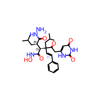 CC(C)C[C@@H](C(=O)NN)[C@H](C(=O)NO)C(/C=C/c1ccccc1)(CC(C)C)C(=O)Cc1cc(=O)[nH]c(=O)[nH]1